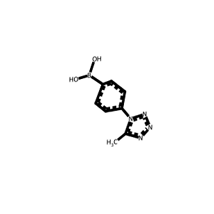 Cc1nnnn1-c1ccc(B(O)O)cc1